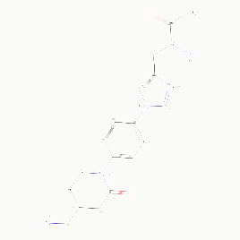 COC(=O)C(N)Cc1cn(-c2ccc(N3CCC(CN)CC3=O)cc2)cn1